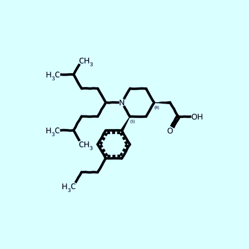 CCCc1ccc([C@@H]2C[C@H](CC(=O)O)CCN2C(CCC(C)C)CCC(C)C)cc1